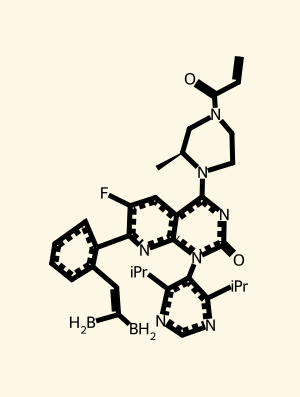 BC(B)=Cc1ccccc1-c1nc2c(cc1F)c(N1CCN(C(=O)C=C)C[C@@H]1C)nc(=O)n2-c1c(C(C)C)ncnc1C(C)C